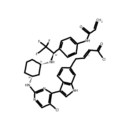 C=CC(=O)Nc1ccc([C@@H](N[C@H]2CCC[C@@H](Nc3ncc(Cl)c(-c4c[nH]c5cc(C/C=C/C(=O)Cl)ccc45)n3)C2)C(F)(F)F)cc1